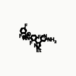 CCn1cc(-c2ccnc(N)c2)c(-c2c(F)ccc(NS(=O)(=O)c3cc(F)ccc3F)c2F)n1